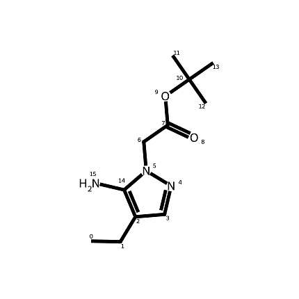 CCc1cnn(CC(=O)OC(C)(C)C)c1N